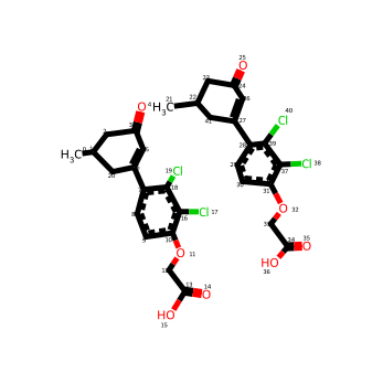 CC1CC(=O)C=C(c2ccc(OCC(=O)O)c(Cl)c2Cl)C1.CC1CC(=O)C=C(c2ccc(OCC(=O)O)c(Cl)c2Cl)C1